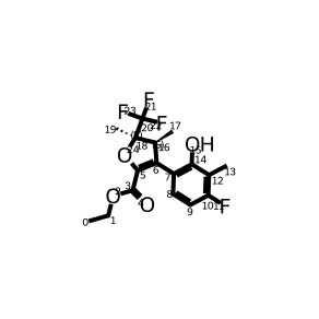 CCOC(=O)C1=C(c2ccc(F)c(C)c2O)[C@H](C)[C@](C)(C(F)(F)F)O1